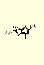 Nc1cc(I)c2nc(C(F)(F)F)[nH]c2n1